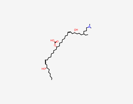 CCCCCC[C@@H](O)C/C=C\CCCCCCCC(CCCCCCC/C=C\C[C@H](O)CCCC(CC)CCCN(C)C)OC(=O)O